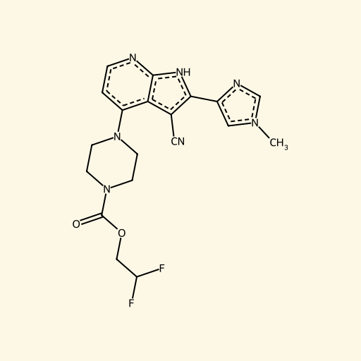 Cn1cnc(-c2[nH]c3nccc(N4CCN(C(=O)OCC(F)F)CC4)c3c2C#N)c1